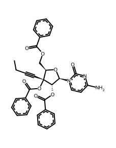 CCC#C[C@@]1(OC(=O)c2ccccc2)[C@@H](COC(=O)c2ccccc2)O[C@@H](n2ccc(N)nc2=O)[C@@H]1OC(=O)c1ccccc1